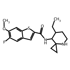 CCC1CCNC2(CC2)C1NC(=O)c1cc2cc(F)c(OC)cc2s1